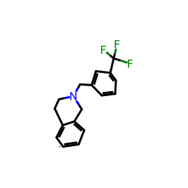 FC(F)(F)c1cccc(CN2CCc3c[c]ccc3C2)c1